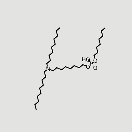 CCCCCCCCCCN(CCCCCCCCCC)CCCCCCCCOP(=O)(O)OCCCCCCCC